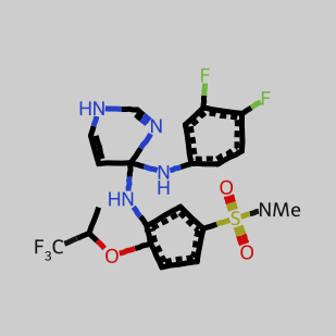 CNS(=O)(=O)c1ccc(OC(C)C(F)(F)F)c(NC2(Nc3ccc(F)c(F)c3)C=CNC=N2)c1